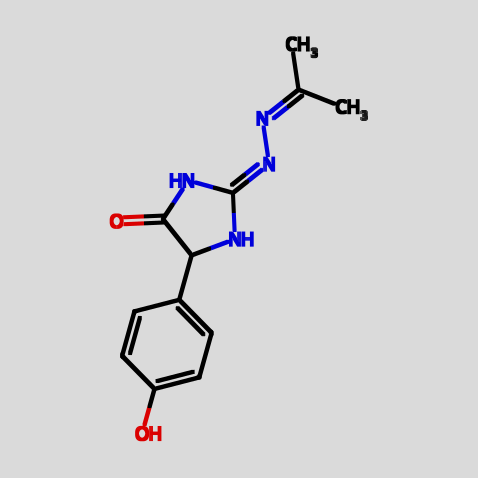 CC(C)=N/N=C1\NC(=O)C(c2ccc(O)cc2)N1